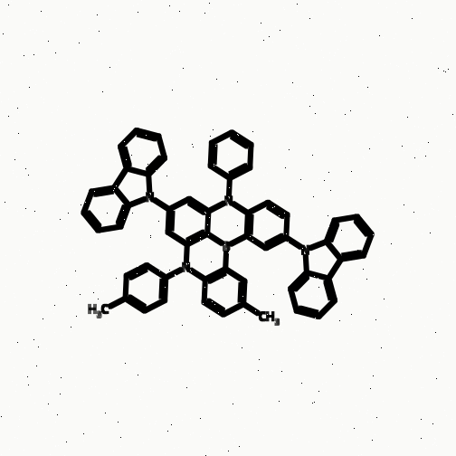 Cc1ccc(N2c3ccc(C)cc3B3c4cc(-n5c6ccccc6c6ccccc65)ccc4N(c4ccccc4)c4cc(-n5c6ccccc6c6ccccc65)cc2c43)cc1